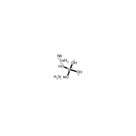 O[Si](O)(O)O.[GaH3].[Nb].[SrH2]